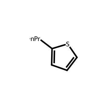 [CH2]C[CH]c1cccs1